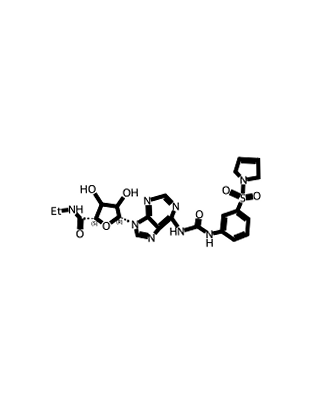 CCNC(=O)[C@H]1O[C@@H](n2cnc3c(NC(=O)Nc4cccc(S(=O)(=O)N5CC=CC5)c4)ncnc32)C(O)C1O